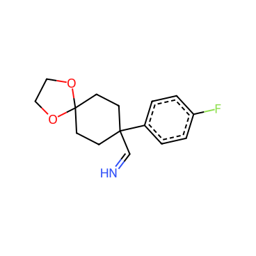 N=CC1(c2ccc(F)cc2)CCC2(CC1)OCCO2